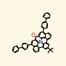 CC(C)(C)c1cc2c3cccc4c(-c5ccc(-c6ccccc6)cc5)cc5c(=O)c6cc(-c7ccc(-c8ccccc8)cc7)c7cccc8c(c1)c2n(c5c43)c6c78